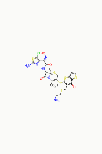 NCCSCc1c(SC2=C(C(=O)O)N3C(=O)C(NC(=O)/C(=N/O)c4nc(N)sc4Cl)[C@H]3SC2)sc2ccsc2c1=O